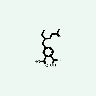 CCC(CCC(C)=O)Cc1ccc(C(=O)O)c(C(=O)O)c1